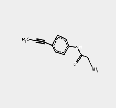 CC#Cc1ccc(NC(=O)CN)cc1